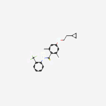 Cc1cc(OCCC2CC2)cc(C)c1C(=S)Nc1ccccc1C(F)(F)F